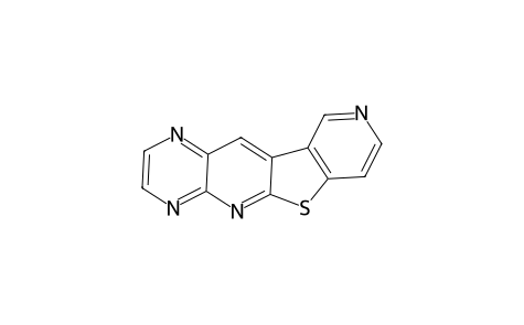 c1cc2sc3nc4nccnc4cc3c2cn1